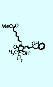 COC(=O)CCCC=CC[C@H]1C(=O)C(C)(C)[C@@H](O)[C@@H]1C=CC(O)Cc1ccccc1